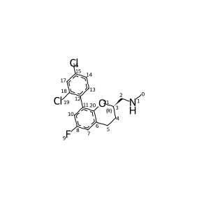 CNC[C@H]1CCc2cc(F)cc(-c3ccc(Cl)cc3Cl)c2O1